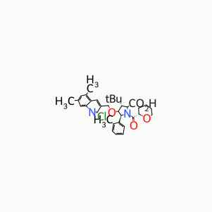 Cc1cc(C)c2cc(CO[C@H]3[C@H](C(C)(C)C)[C@@H](C(=O)O)N(C(=O)[C@@H]4CCCCO4)[C@H]3c3ccccc3C)c(Cl)nc2c1